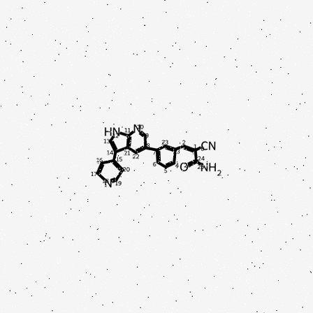 N#CC(=Cc1cccc(-c2cnc3[nH]cc(-c4ccncc4)c3c2)c1)C(N)=O